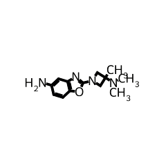 CN(C)C1(C)CN(c2nc3cc(N)ccc3o2)C1